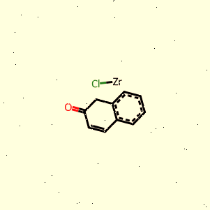 O=C1C=Cc2ccccc2C1.[Cl][Zr]